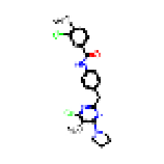 COc1ccc(C(=O)Nc2ccc(Cc3nc(Cl)c(OC(C)=O)c(N4CCCC4)n3)cc2)cc1Cl